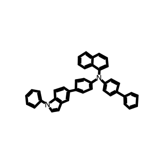 c1ccc(-c2ccc(N(c3ccc(-c4ccc5c(ccn5-c5ccccc5)c4)cc3)c3cccc4ccccc34)cc2)cc1